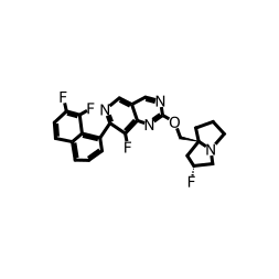 Fc1ccc2cccc(-c3ncc4cnc(OC[C@@]56CCCN5C[C@H](F)C6)nc4c3F)c2c1F